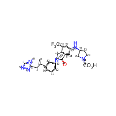 C[C@H](Cc1nncn1C)c1cccc(N2Cc3c(cc(N[C@H]4CCN(C(=O)O)C4)cc3C(F)(F)F)C2=O)c1